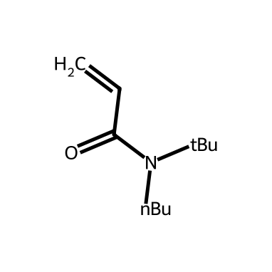 C=CC(=O)N(CCCC)C(C)(C)C